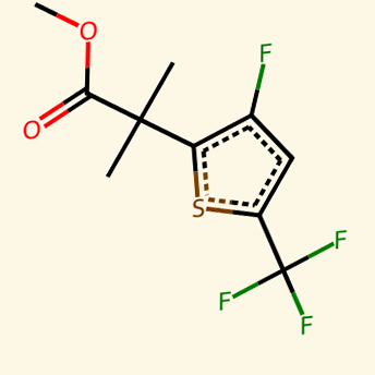 COC(=O)C(C)(C)c1sc(C(F)(F)F)cc1F